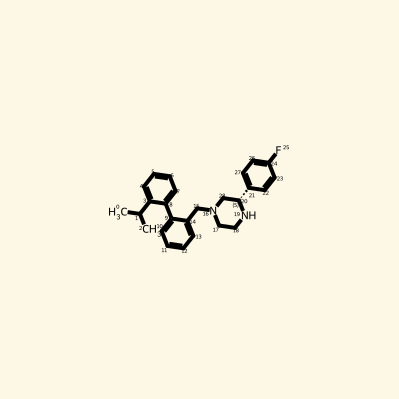 CC(C)c1ccccc1-c1ccccc1CN1CCN[C@@H](c2ccc(F)cc2)C1